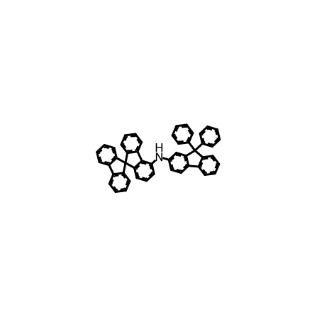 c1ccc(C2(c3ccccc3)c3ccccc3-c3ccc(Nc4cccc5c4-c4ccccc4C54c5ccccc5-c5ccccc54)cc32)cc1